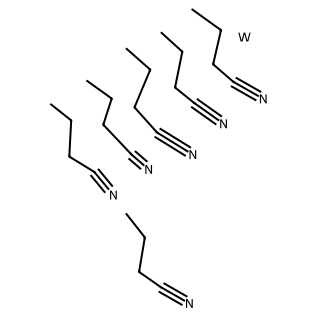 CCCC#N.CCCC#N.CCCC#N.CCCC#N.CCCC#N.CCCC#N.[W]